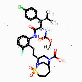 COC(=O)N[C@H](C(=O)Nc1cccc(F)c1CCC1CN(C(=O)O)C2CCCS(=O)(=O)N1C2)[C@@H](c1ccc(Cl)cc1)C(C)C